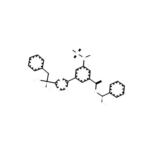 CCN(c1cc(C(=O)N[C@H](C)c2ccccc2)cc(-c2nnc([C@](C)(N)Cc3ccccc3)o2)c1)S(C)(=O)=O